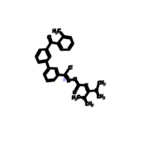 Cc1ccccc1C(=O)c1cccc(-c2cccc(/C(Cl)=N/OC(=O)N=C(N(C)C)N(C)C)c2)c1